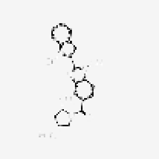 CCn1c(-c2nc3cc(C(=O)N4C[C@H](N)C[C@@H]4C)ccc3n2C)cc2ccccc21